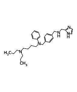 CCCN(CCC)CCCCN(Cc1ccc(CNCc2ncc[nH]2)cc1)c1ccccc1